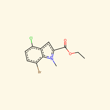 CCOC(=O)c1cc2c(Cl)ccc(Br)c2n1C